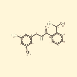 O=C(NCc1cc(C(F)(F)F)cc(C(F)(F)F)c1)c1ccccc1C(O)O